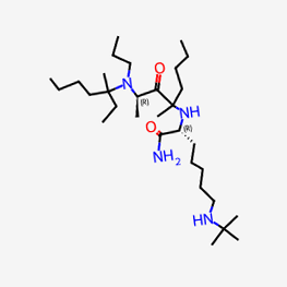 CCCCC(C)(N[C@H](CCCCCNC(C)(C)C)C(N)=O)C(=O)[C@@H](C)N(CCC)C(C)(CC)CCCC